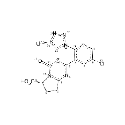 O=C(O)C1CCc2nc(-c3cc(Cl)ccc3-n3cc(Cl)nn3)cc(=O)n21